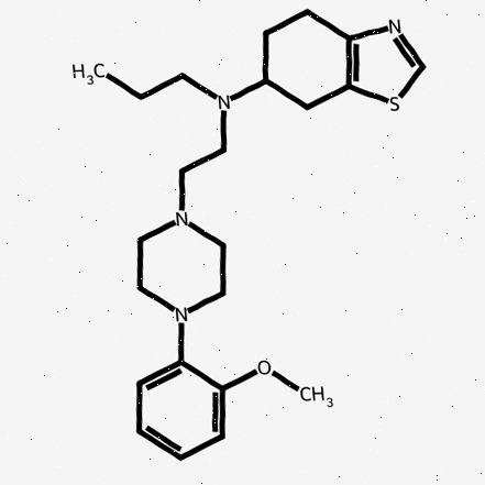 CCCN(CCN1CCN(c2ccccc2OC)CC1)C1CCc2ncsc2C1